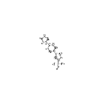 FC(F)(F)c1csc(-c2n[c]c(-c3cccs3)cn2)n1